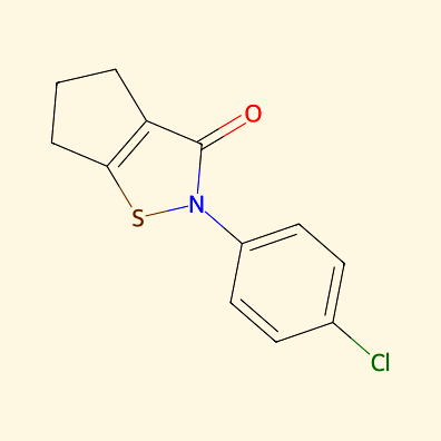 O=c1c2c(sn1-c1ccc(Cl)cc1)CCC2